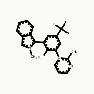 Cc1c(-c2c3ccccc3cn2C)cc(C(F)(F)F)cc1-[n+]1cccnc1C